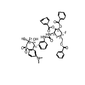 CCCC[C@]1(CC)CS(=O)(=O)c2ccc(N(C)C)cc2[C@@H](c2cccc(NC(=O)N[C@@H]3S[C@H](COC(=O)c4ccccc4)[C@@H](F)[C@H](OC(=O)c4ccccc4)[C@H]3OC(=O)c3ccccc3)c2)[C@H]1O